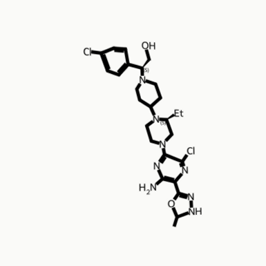 CC[C@H]1CN(c2nc(N)c(C3=NNC(C)O3)nc2Cl)CCN1C1CCN([C@H](CO)c2ccc(Cl)cc2)CC1